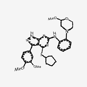 COc1ccc(-c2n[nH]c3nc(Nc4ccccc4N4CCOC(OC)C4)nc(SC4CCCC4)c23)cc1OC